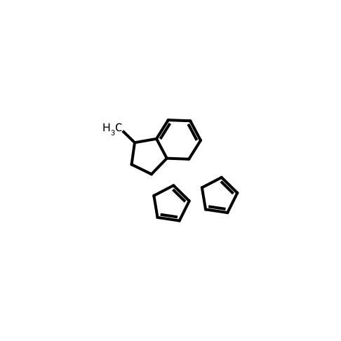 C1=CCC=C1.C1=CCC=C1.CC1CCC2CC=CC=C12